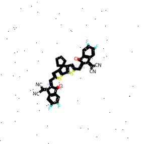 N#CC(C#N)=C1/C(=C/c2cc3c(s2)-c2sc(/C=C4\C(=O)c5cc(F)c(F)cc5C4=C(C#N)C#N)cc2C32CCCC2)C(=O)c2cc(F)c(F)cc21